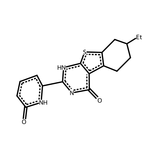 CCC1CCc2c(sc3[nH]c(-c4cccc(=O)[nH]4)nc(=O)c23)C1